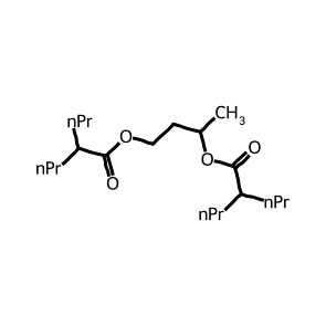 CCCC(CCC)C(=O)OCCC(C)OC(=O)C(CCC)CCC